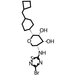 O[C@@H]1[C@H](O)[C@H](Nc2nc(Br)ns2)CO[C@@H]1C1CCC(CC2CCC2)CC1